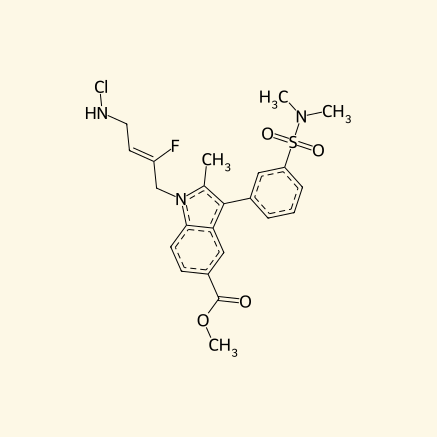 COC(=O)c1ccc2c(c1)c(-c1cccc(S(=O)(=O)N(C)C)c1)c(C)n2C/C(F)=C/CNCl